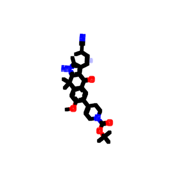 COc1cc2c(cc1C1=CCN(C(=O)OC(C)(C)C)CC1)C(=O)c1c([nH]c(C)c1/C=C\C(C)C#N)C2(C)C